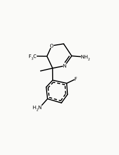 CC1(c2cc(N)ccc2F)N=C(N)COC1C(F)(F)F